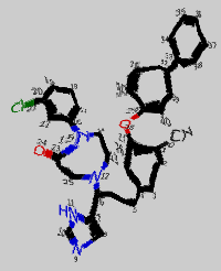 N#Cc1ccc(CC(c2cnc[nH]2)N2CCN(c3cccc(Cl)c3)C(=O)C2)cc1Oc1ccc(-c2ccccc2)cc1